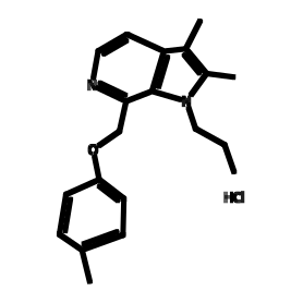 CCCn1c(C)c(C)c2ccnc(COc3ccc(C)cc3)c21.Cl